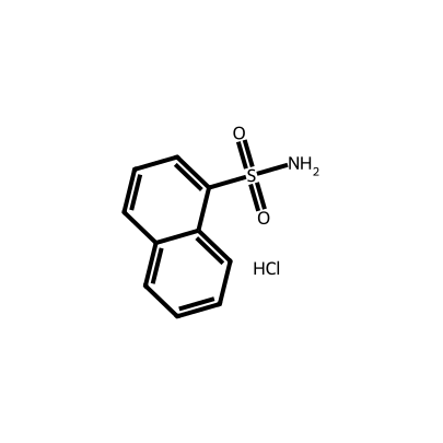 Cl.NS(=O)(=O)c1cccc2ccccc12